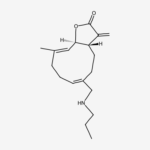 C=C1C(=O)O[C@@H]2/C=C(\C)CC/C=C(/CNCCC)CC[C@@H]12